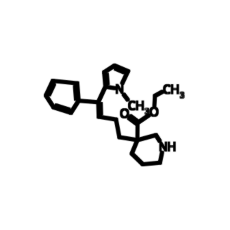 CCOC(=O)C1(CCC=C(c2ccccc2)c2cccn2C)CCCNC1